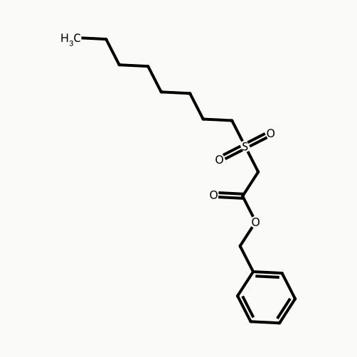 CCCCCCCCS(=O)(=O)CC(=O)OCc1ccccc1